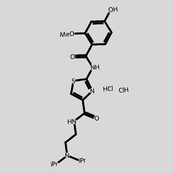 COc1cc(O)ccc1C(=O)Nc1nc(C(=O)NCCN(C(C)C)C(C)C)cs1.Cl.Cl